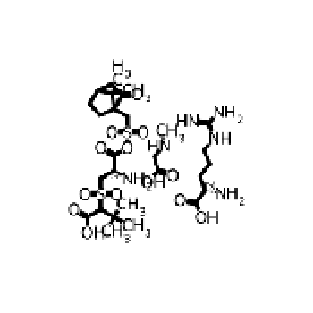 CC(C)(C)C(C(=O)O)S(=O)(=O)C[C@H](N)C(=O)OS(=O)(=O)CC12CCC(CC1=O)C2(C)C.CNCC(=O)O.N=C(N)NCCC[C@H](N)C(=O)O